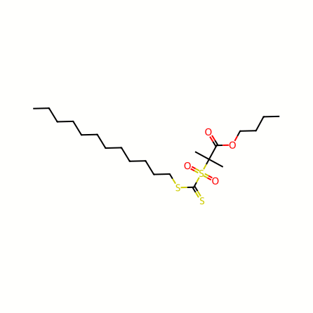 CCCCCCCCCCCCSC(=S)S(=O)(=O)C(C)(C)C(=O)OCCCC